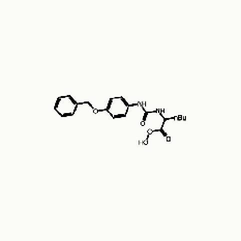 CCCCC(NC(=O)Nc1ccc(OCc2ccccc2)cc1)C(=O)OO